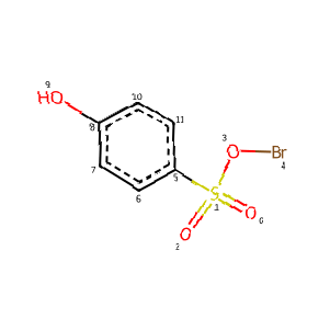 O=S(=O)(OBr)c1ccc(O)cc1